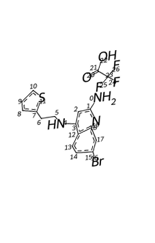 Nc1cc(NCCc2cccs2)c2ccc(Br)cc2n1.O=C(O)C(F)(F)F